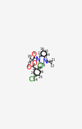 O=C(OC1(C(=O)N2CCN(C3CC3)c3ccccc32)CC1)c1cc(Cl)ccc1Cl